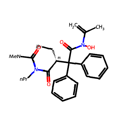 C=C(C)N(O)C(=O)C(c1ccccc1)(c1ccccc1)[C@@H](CC(C)C)C(=O)N(CCC)C(=O)NC